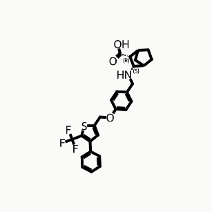 O=C(O)[C@@H]1C2CCC(C2)[C@@H]1NCc1ccc(OCc2cc(-c3ccccc3)c(C(F)(F)F)s2)cc1